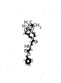 CC(C)(C)OC(=O)N1CCN(C(=O)CCNCC(=O)OCc2ccccc2)CC1CO